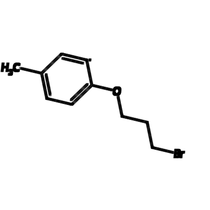 Cc1c[c]c(OCCCBr)cc1